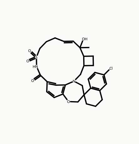 CC1(O)/C=C/CCCS(=O)(=O)NC(=O)c2ccc3c(c2)N(CC2CCC21)CC1(CCCc2cc(Cl)ccc21)CO3